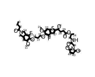 CCCC(=O)N1Cc2cc(OC)c(OCCCOc3c(OC)cc4sc(C(=O)CCC(=O)OC(C)CNC(=O)CN5C(=O)C=CC5=O)cc4c3F)c(F)c2C1